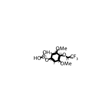 COc1cc(OB(O)O)cc(OC)c1OCC(F)(F)F